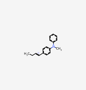 CC/C=C/c1ccc(N(C)c2ccccc2)cc1